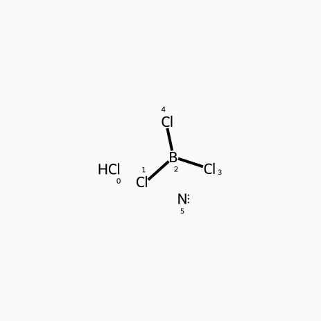 Cl.ClB(Cl)Cl.[N]